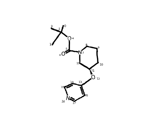 CC(C)(C)OC(=O)N1CCC[C@@H](Oc2ccncc2)C1